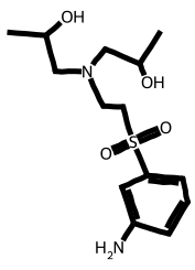 CC(O)CN(CCS(=O)(=O)c1cccc(N)c1)CC(C)O